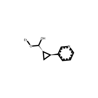 CCOC(O)[C@H]1C[C@@H]1c1cccnc1